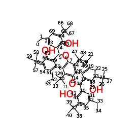 CCc1cc(C(Oc2cc(C(C)(C)C)c(OC(c3cc(CC)cc(C(C)(C)C)c3O)c3cc(CC)cc(C(C)(C)C)c3O)cc2C(C)(C)C)c2cc(CC)cc(C(C)(C)C)c2O)c(O)c(C(C)(C)C)c1